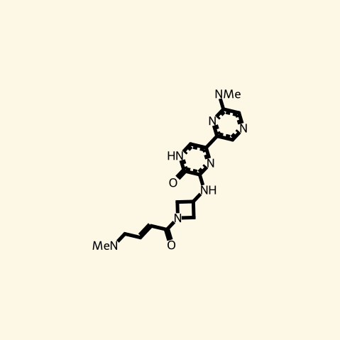 CNCC=CC(=O)N1CC(Nc2nc(-c3cncc(NC)n3)c[nH]c2=O)C1